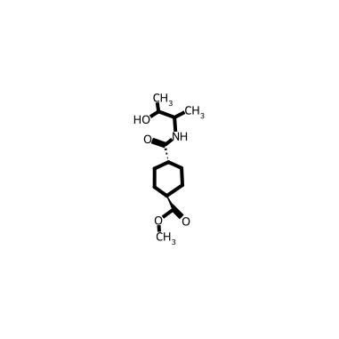 COC(=O)[C@H]1CC[C@H](C(=O)NC(C)C(C)O)CC1